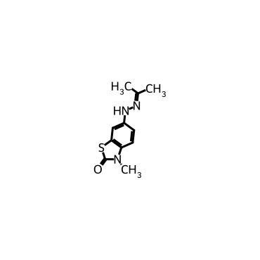 CC(C)=NNc1ccc2c(c1)sc(=O)n2C